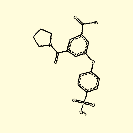 CC(C)C(=O)c1cc(Oc2ccc(S(C)(=O)=O)cc2)cc(C(=O)N2CCCC2)c1